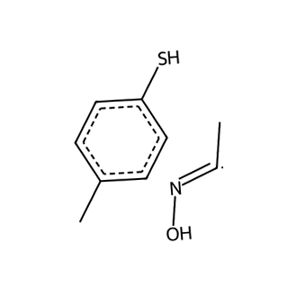 C[C]=NO.Cc1ccc(S)cc1